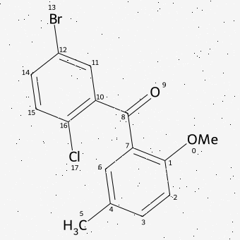 COc1ccc(C)cc1C(=O)c1cc(Br)ccc1Cl